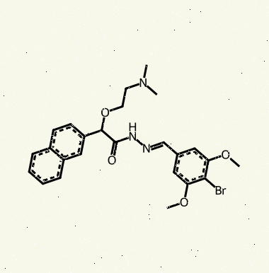 COc1cc(/C=N/NC(=O)C(OCCN(C)C)c2ccc3ccccc3c2)cc(OC)c1Br